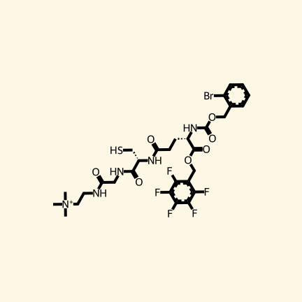 C[N+](C)(C)CCNC(=O)CNC(=O)[C@H](CS)NC(=O)CC[C@H](NC(=O)OCc1ccccc1Br)C(=O)OCc1c(F)c(F)c(F)c(F)c1F